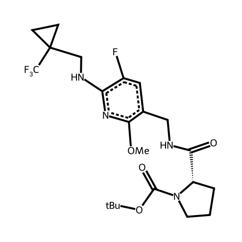 COc1nc(NCC2(C(F)(F)F)CC2)c(F)cc1CNC(=O)[C@@H]1CCCN1C(=O)OC(C)(C)C